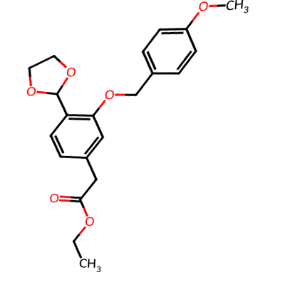 CCOC(=O)Cc1ccc(C2OCCO2)c(OCc2ccc(OC)cc2)c1